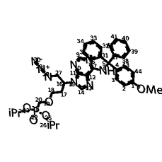 COc1ccc(C(Nc2ncnc3c2ncn3C(CCOCP(=O)(OC(C)C)OC(C)C)CN=[N+]=[N-])(c2ccccc2)c2ccccc2)cc1